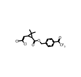 CC1(C)C(C=C(Cl)Cl)C1C(=O)OCc1ccc(C(=O)C(F)(F)F)cc1